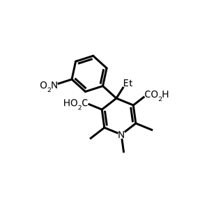 CCC1(c2cccc([N+](=O)[O-])c2)C(C(=O)O)=C(C)N(C)C(C)=C1C(=O)O